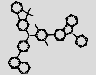 Cc1cc(N(c2ccc(-c3cccc4ccccc34)cc2)c2ccc3c(c2)C(C)(C)c2ccccc2-3)c(C)cc1-c1ccc2c(c1)c1ccccc1n2-c1ccccc1